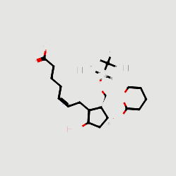 CC(C)(C)[Si](C)(C)OC[C@@H]1C(C/C=C\CCCC(=O)O)C(O)C[C@H]1OC1CCCCO1